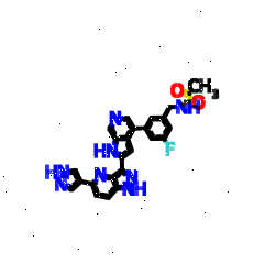 CS(=O)(=O)NCc1cc(F)cc(-c2cncc3[nH]c(-c4n[nH]c5ccc(-c6cn[nH]c6)nc45)cc23)c1